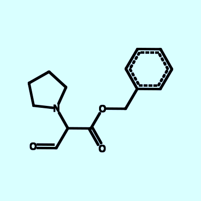 O=CC(C(=O)OCc1ccccc1)N1CCCC1